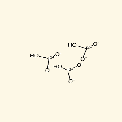 [O-][I+2]([O-])O.[O-][I+2]([O-])O.[O-][I+2]([O-])O